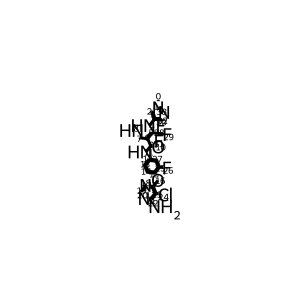 Cn1cc(N/C(=C(\C=N)C(=O)Nc2ccc(Oc3ncnc(N)c3Cl)c(F)c2)C(F)(F)F)cn1